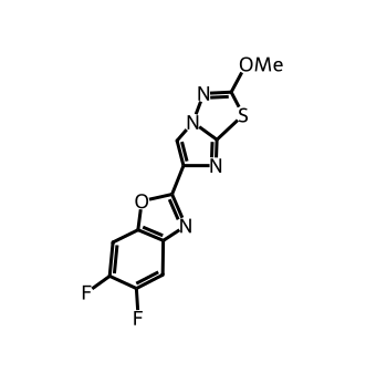 COc1nn2cc(-c3nc4cc(F)c(F)cc4o3)nc2s1